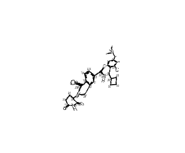 CN(C)Cc1ccc([C@@H](NC(=O)c2ccc3c(c2)CN(C2CCC(=O)NC2=O)C3=O)C2CCC2)c(Cl)c1